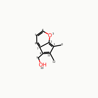 Cc1c2occcc-2c(CO)c1C